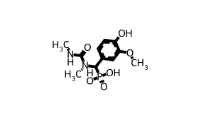 CNC(=O)N(C)C(c1ccc(O)c(OC)c1)P(=O)(O)O